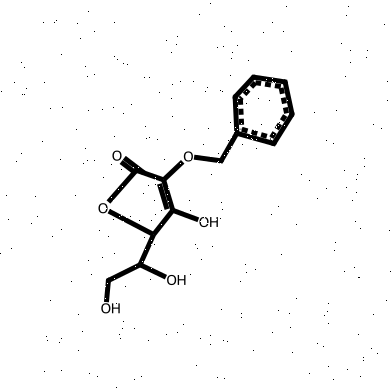 O=C1OC(C(O)CO)C(O)=C1OCc1ccccc1